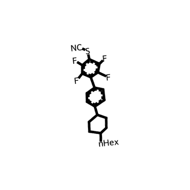 CCCCCCC1CCC(c2ccc(-c3c(F)c(F)c(SC#N)c(F)c3F)cc2)CC1